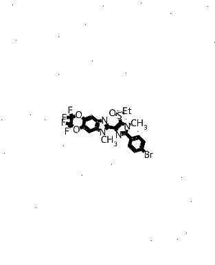 CC[S+]([O-])c1c(-c2nc3cc4c(cc3n2C)OC(F)(F)C(F)(F)O4)nc(-c2ccc(Br)cc2)n1C